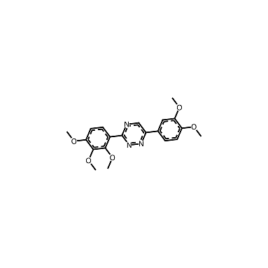 COc1ccc(-c2cnc(-c3ccc(OC)c(OC)c3OC)nn2)cc1OC